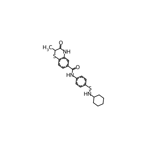 CC1Sc2ccc(C(=O)Nc3ccc(SNC4CCCCC4)cc3)cc2NC1=O